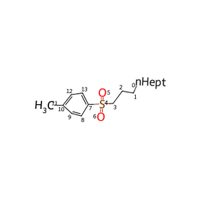 CCCCCCCCCCS(=O)(=O)c1ccc(C)cc1